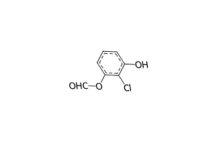 O=COc1cccc(O)c1Cl